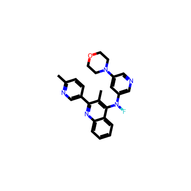 Cc1ccc(-c2nc3ccccc3c(N(F)c3cncc(N4CCOCC4)c3)c2C)cn1